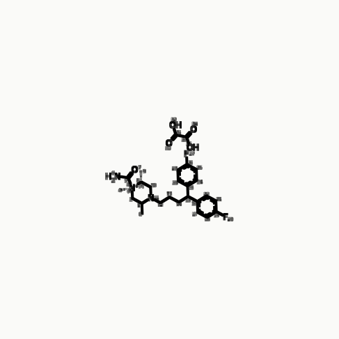 CC1C[N@@+](C)(C(N)=O)[C@H](C)CN1CCCC(c1ccc(F)cc1)c1ccc(F)cc1.O=C(O)C(=O)O